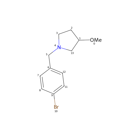 COC1CCN(Cc2ccc(Br)cc2)C1